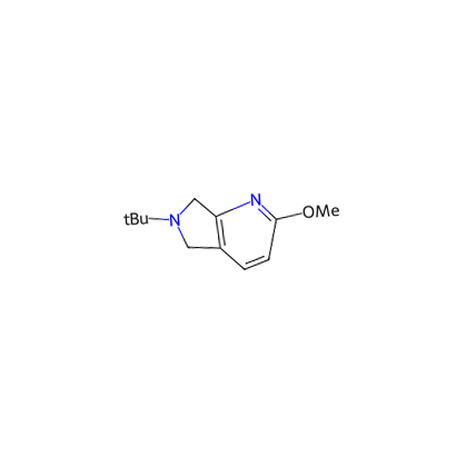 COc1ccc2c(n1)CN(C(C)(C)C)C2